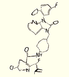 O=C(NC1CCC(Cn2c(=O)n(-c3cc(F)ccc3Cl)c3ncccc32)CC1)c1cc(Cl)cnc1C(F)F